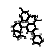 Cc1nc(NC(C)c2cccc(-c3cccnc3)c2)cc(-c2ccc3occ(C)c3c2)n1